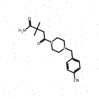 CC(C)(CC(=O)N1CCN(Cc2ccc(C#N)cc2)CC1)C(N)=O